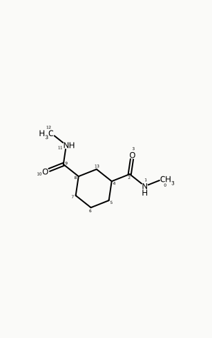 CNC(=O)C1CCCC(C(=O)NC)C1